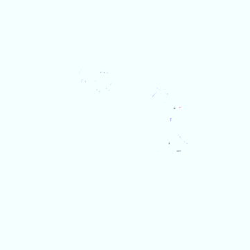 COC(=O)Nc1ccc(CCCCc2nnc(C(=O)NCc3cc(C(F)(F)F)ccn3)s2)nn1